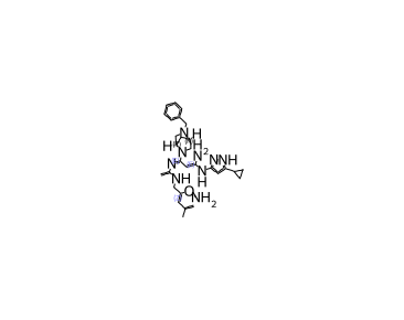 C=C(C)/C=C(/CNC(=C)/N=C(\C=C(/N)Nc1cc(C2CC2)[nH]n1)N1C[C@H]2C[C@@H]1CN2Cc1ccccc1)ON